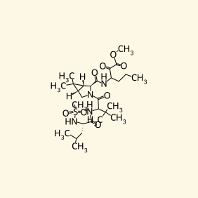 CCCC(NC(=O)[C@@H]1[C@@H]2[C@H](CN1C(=O)C(NC(=O)[C@H](CC(C)C)NS(C)(=O)=O)C(C)(C)C)C2(C)C)C(=O)C(=O)OC